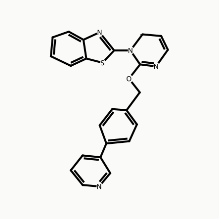 [CH]1C=CN=C(OCc2ccc(-c3cccnc3)cc2)N1c1nc2ccccc2s1